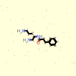 NCCC[C@@H](CN)NC(=O)CCc1ccccc1